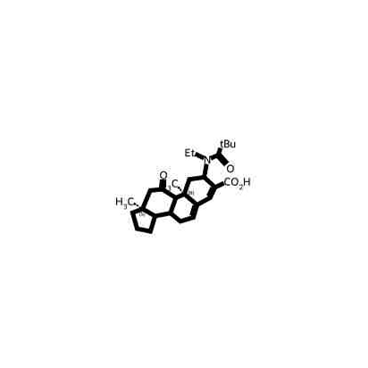 CCN(C(=O)C(C)(C)C)C1C[C@@]2(C)C(=CCC3C4CCC[C@@]4(C)CC(=O)C32)C=C1C(=O)O